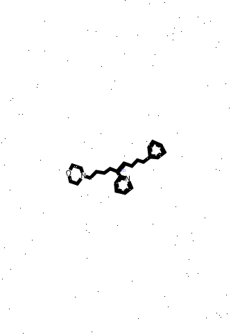 C(/CCCc1ccccc1)=C(\CCCCN1CCOCC1)c1ccccn1